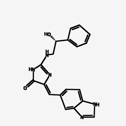 O=C1NC(NC[C@H](O)c2ccccc2)=N/C1=C\c1ccc2[nH]cnc2c1